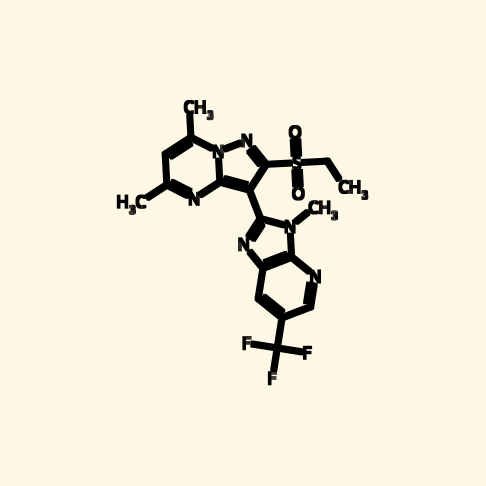 CCS(=O)(=O)c1nn2c(C)cc(C)nc2c1-c1nc2cc(C(F)(F)F)cnc2n1C